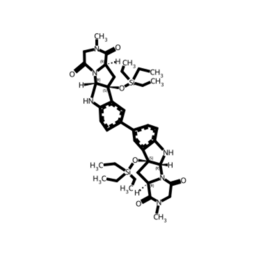 CC[Si](CC)(CC)O[C@]12C[C@@H]3C(=O)N(C)CC(=O)N3[C@H]1Nc1ccc(-c3ccc4c(c3)[C@@]3(O[Si](CC)(CC)CC)C[C@@H]5C(=O)N(C)CC(=O)N5[C@H]3N4)cc12